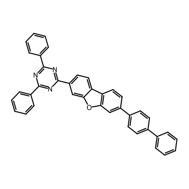 c1ccc(-c2ccc(-c3ccc4c(c3)oc3cc(-c5nc(-c6ccccc6)nc(-c6ccccc6)n5)ccc34)cc2)cc1